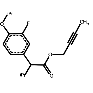 CC#CCOC(=O)C(c1ccc(OC(C)C)c(F)c1)C(C)C